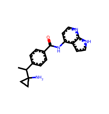 CC(c1ccc(C(=O)Nc2ccnc3[nH]ccc23)cc1)C1(N)CC1